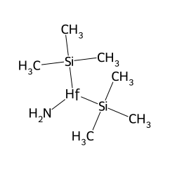 C[Si](C)(C)[Hf]([NH2])[Si](C)(C)C